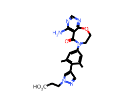 Cc1cc(N2CCOc3ncnc(N)c3C2=O)cc(C)c1-c1cnn(CCC(=O)O)c1